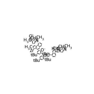 CC(C)(C)c1ccc([O-])c(C(C)(C)C)c1.CC(C)(C)c1ccc([O-])c(C(C)(C)C)c1.CC1=Cc2c(-c3ccccc3)cccc2[CH]1[Zr].CC1=Cc2c(ccc3ccccc23)[CH]1[Zr].CC1=NC2=CC=C3C2=C1[Si]3(C)C.CC1=NC2=CC=C3C2=C1[Si]3(C)C.[Cl-]